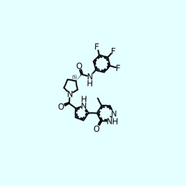 Cc1cn[nH]c(=O)c1-c1ccc(C(=O)N2CC[C@H](C(=O)Nc3cc(F)c(F)c(F)c3)C2)[nH]1